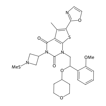 COc1ccccc1C(Cn1c(=O)n(C2CN(SC)C2)c(=O)c2c(C)c(-c3ncco3)sc21)OC1CCOCC1